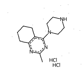 Cc1nc2c(c(N3CCNCC3)n1)CCCC2.Cl.Cl